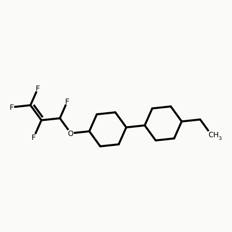 CCC1CCC(C2CCC(OC(F)C(F)=C(F)F)CC2)CC1